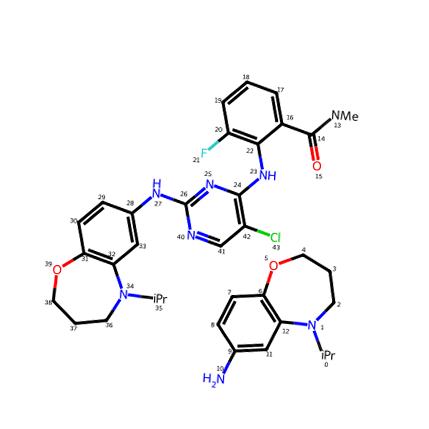 CC(C)N1CCCOc2ccc(N)cc21.CNC(=O)c1cccc(F)c1Nc1nc(Nc2ccc3c(c2)N(C(C)C)CCCO3)ncc1Cl